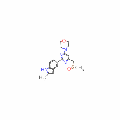 Cc1cc2cc(-c3nc(C[S+](C)[O-])cc(N4CCOCC4)n3)ccc2[nH]1